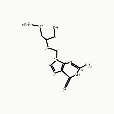 CCCCCOCC(CO)OCn1cnc2c(=O)[nH]c(N)nc21